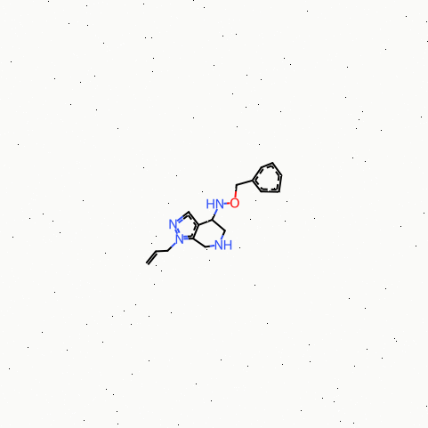 C=CCn1ncc2c1CNCC2NOCc1ccccc1